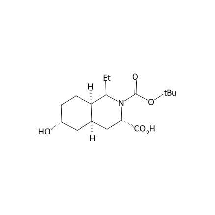 CCC1[C@@H]2CC[C@@H](O)C[C@@H]2C[C@@H](C(=O)O)N1C(=O)OC(C)(C)C